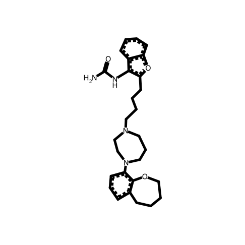 NC(=O)Nc1c(CCCCN2CCCN(c3cccc4c3OCCCC4)CC2)oc2ccccc12